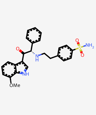 COc1cccc2c(C(=O)[C@@H](NCCc3ccc(S(N)(=O)=O)cc3)c3ccccc3)c[nH]c12